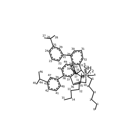 CCCCC[CH2][Hf]([CH3])([CH3])(=[SiH2])([CH2]CCCCC)([CH]1C=Cc2c(-c3cccc(C(C)C)c3)cccc21)[CH]1C=Cc2c(-c3cccc(C(C)C)c3)cccc21